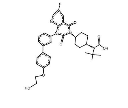 CC(C)(C)N(C(=O)O)[C@H]1CC[C@@H](n2c(=O)c3cc(F)cnc3n(-c3cccc(-c4ccc(OCCO)cc4)c3)c2=O)CC1